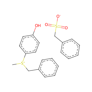 C[S+](Cc1ccccc1)c1ccc(O)cc1.O=S(=O)([O-])Cc1ccccc1